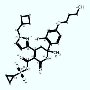 CCCCOc1ccc(C2(C)CC(c3ccn(CC4CCC4)n3)=C(C(=O)NS(=O)(=O)C3CC3)C(=O)N2)c(F)c1